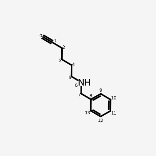 C#CCCCCNCc1ccccc1